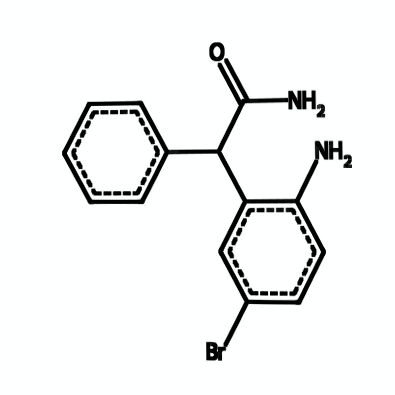 NC(=O)C(c1ccccc1)c1cc(Br)ccc1N